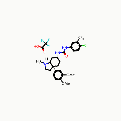 COc1ccc([C@@]23CC[C@@H](NC(=O)Nc4ccc(Cl)c(C(F)(F)F)c4)C[C@@H]2N(C)CC3)cc1OC.O=C(O)C(F)(F)F